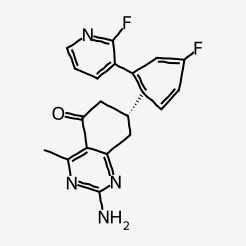 Cc1nc(N)nc2c1C(=O)C[C@H](c1ccc(F)cc1-c1cccnc1F)C2